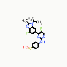 Cc1nc2c(F)cc(-c3nc(Nc4ccc(SO)cc4)ncc3F)cc2n1C(C)C